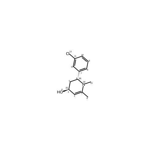 CC1=C[C@@H](O)C[C@H](c2cccc(Cl)c2)N1C